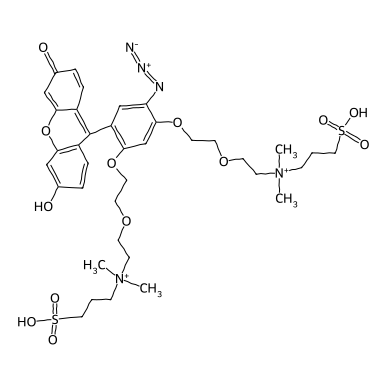 C[N+](C)(CCCS(=O)(=O)O)CCOCCOc1cc(OCCOCC[N+](C)(C)CCCS(=O)(=O)O)c(-c2c3ccc(=O)cc-3oc3cc(O)ccc23)cc1N=[N+]=[N-]